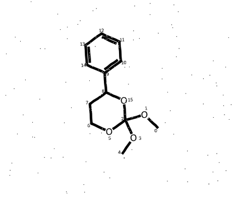 COC1(OC)OCCC(c2ccccc2)O1